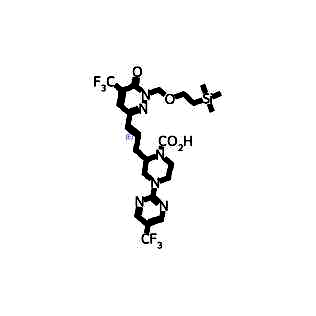 C[Si](C)(C)CCOCn1nc(/C=C/CC2CN(c3ncc(C(F)(F)F)cn3)CCN2C(=O)O)cc(C(F)(F)F)c1=O